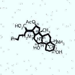 CC(=O)O[C@H]1C[C@@]2(C)[C@@](N)(C[C@@H](O)[C@H]3[C@@]4(C)CC[C@@H](O)[C@@H](N)[C@@H]4CC[C@@]32N)/C1=C(\CCCC(C)C)C(=O)O